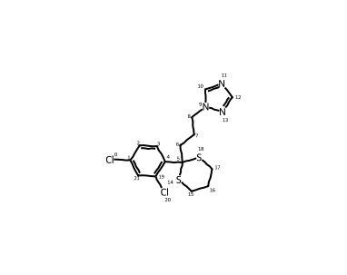 Clc1ccc(C2(CCCn3cncn3)SCCCS2)c(Cl)c1